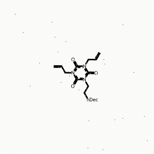 C=CCn1c(=O)n(CC=C)c(=O)n(CCCCCCCCCCCC)c1=O